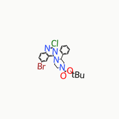 CC(C)(C)OC(=O)N1CCN(c2nc(Cl)nc3ccc(Br)cc23)C(c2ccccc2)C1